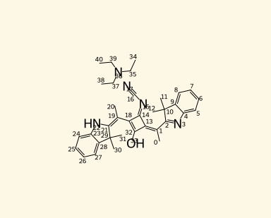 CC(C1=Nc2ccccc2C1(C)C)=C1C(=NC#N)C(C(C)=C2Nc3ccccc3C2(C)C)=C1O.CCN(CC)CC